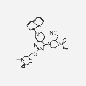 C=CC(=O)N1CCN(c2nc(OCC3CN(C)C4(CC4)CO3)nc3c2CCN(c2cccc4ccccc24)C3)CC1CC#N